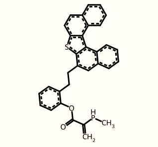 C=C(PC)C(=O)Oc1ccccc1CCc1cc2ccccc2c2c1sc1ccc3ccccc3c12